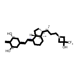 C=C1[C@H](O)CC(=C/C=C2\CCC[C@]3(C)[C@@H]([C@H](C)CCN4CC(O)(C(F)(F)F)C4)CC[C@@H]23)C[C@H]1O